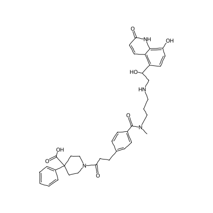 CN(CCCNCC(O)c1ccc(O)c2[nH]c(=O)ccc12)C(=O)c1ccc(CCC(=O)N2CCC(C(=O)O)(c3ccccc3)CC2)cc1